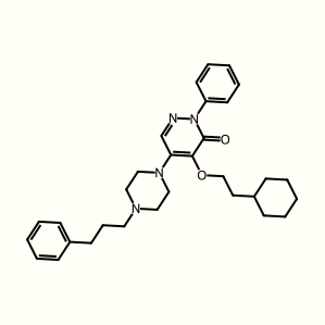 O=c1c(OCCC2CCCCC2)c(N2CCN(CCCc3ccccc3)CC2)cnn1-c1ccccc1